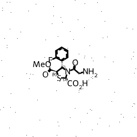 COC(=O)[C@@H]1S[C@@H](C(=O)O)N(C(=O)CN)[C@H]1c1ccccc1F